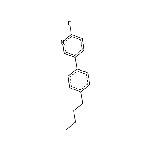 CCCCc1ccc(-c2ccc(F)nc2)cc1